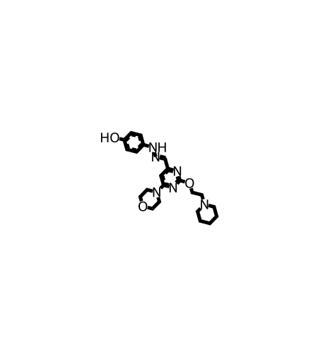 Oc1ccc(NN=Cc2cc(N3CCOCC3)nc(OCCN3CCCCC3)n2)cc1